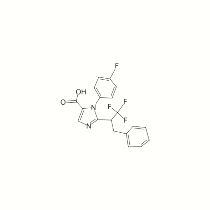 O=C(O)c1cnc(C(Cc2ccccc2)C(F)(F)F)n1-c1ccc(F)cc1